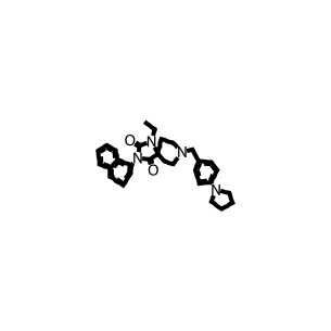 CCN1C(=O)N(c2cccc3ccccc23)C(=O)C12CCN(Cc1ccc(N3CCCC3)cc1)CC2